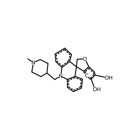 CN1CCC(CN2c3ccccc3C3(COc4cc(O)c(O)cc43)c3ccccc32)CC1